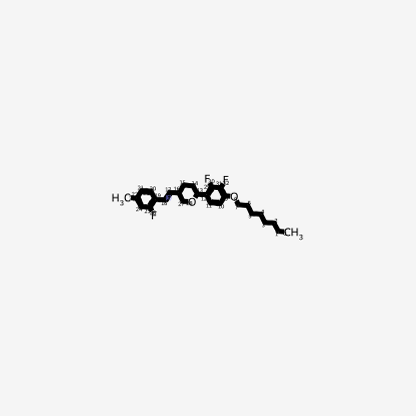 CCCCCCCCOc1ccc(C2CCC(/C=C/c3ccc(C)cc3F)CO2)c(F)c1F